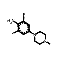 CN1CCN(c2cc(F)c(N)c(F)c2)CC1